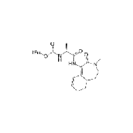 C[C@H](NC(=O)OC(C)(C)C)C(=O)NC1=C2C=CCCC2CCN(C)C1=O